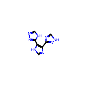 [c]1nc(-c2nc[nH]n2)c(-c2nnc[nH]2)[nH]1